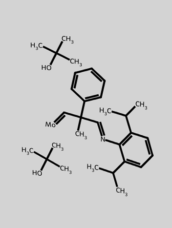 CC(C)(C)O.CC(C)(C)O.CC(C)c1cccc(C(C)C)c1N=CC(C)([CH]=[Mo])c1ccccc1